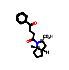 O=C(CCC(=O)N1[C@H](C(=O)O)C[C@@H]2CCC[C@@H]21)c1ccccc1